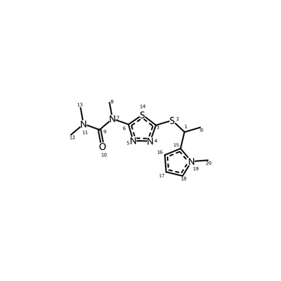 CC(Sc1nnc(N(C)C(=O)N(C)C)s1)c1cccn1C